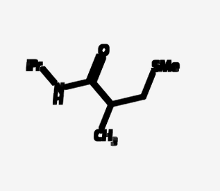 CSCC(C)C(=O)NC(C)C